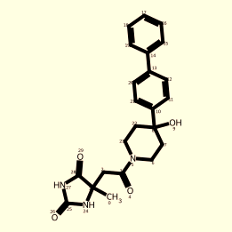 CC1(CC(=O)N2CCC(O)(c3ccc(-c4ccccc4)cc3)CC2)NC(=O)NC1=O